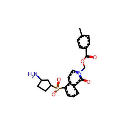 Cc1ccc(C(=O)OCn2ccc3c(S(=O)(=O)C4CCC(N)C4)cccc3c2=O)cc1